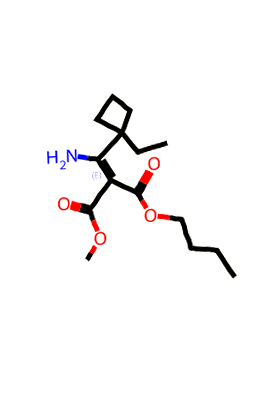 CCCCOC(=O)/C(C(=O)OC)=C(/N)C1(CC)CCC1